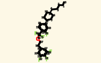 CCCCC[C@H]1CC[C@H](c2ccc(C(F)(F)OCCc3cc(F)c(F)c(F)c3)c(F)c2)CC1